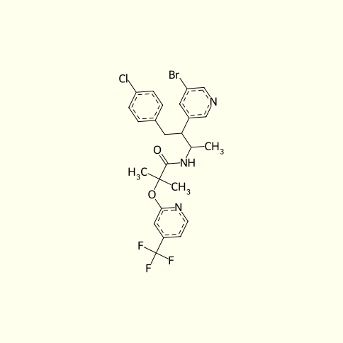 CC(NC(=O)C(C)(C)Oc1cc(C(F)(F)F)ccn1)C(Cc1ccc(Cl)cc1)c1cncc(Br)c1